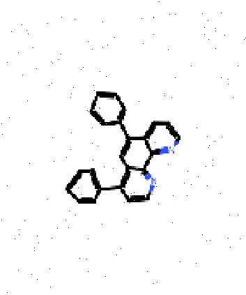 c1ccc(-c2cc3c(-c4ccccc4)ccnc3c3ncccc23)cc1